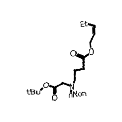 CC/C=C\COC(=O)CCCN(CCCCCCCCC)CC(=O)OC(C)(C)C